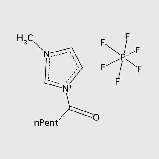 CCCCCC(=O)[n+]1ccn(C)c1.F[P-](F)(F)(F)(F)F